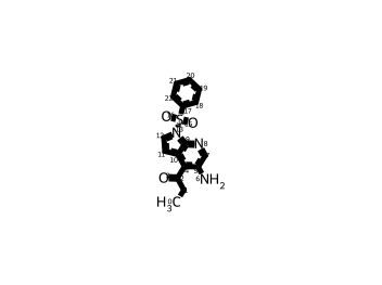 CCC(=O)c1c(N)cnc2c1ccn2S(=O)(=O)c1ccccc1